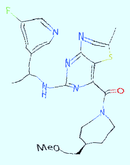 COC[C@@H]1CCN(C(=O)c2nc(NC(C)c3cncc(F)c3)nc3nc(C)sc23)C1